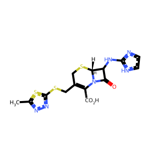 Cc1nnc(SCC2=C(C(=O)O)N3C(=O)C(Nc4ncc[nH]4)[C@H]3SC2)s1